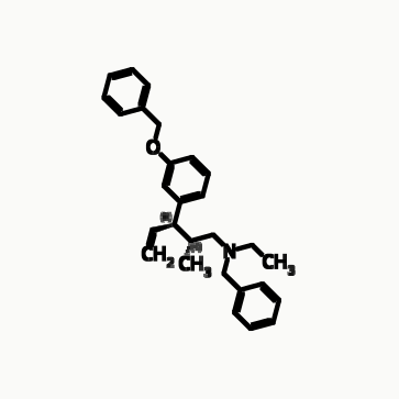 C=C[C@@H](c1cccc(OCc2ccccc2)c1)[C@@H](C)CN(CC)Cc1ccccc1